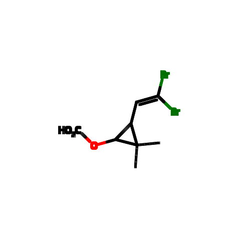 CC1(C)C(C=C(Br)Br)C1OC(=O)O